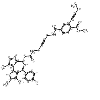 COC(=O)c1ccc(C(=O)NCC#CCNC(=O)C[C@@H]2N=C(c3ccc(Cl)cc3)c3c(sc(C)c3C)-n3c(C)nnc32)cc1C#CCN